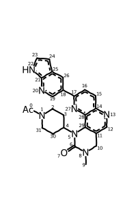 CC(=O)N1CCC(N2C(=O)N(C)Cc3cnc4ccc(-c5cnc6[nH]ccc6c5)nc4c32)CC1